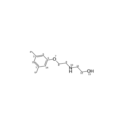 Cc1[c]c(C)cc(OCCNCCO)c1